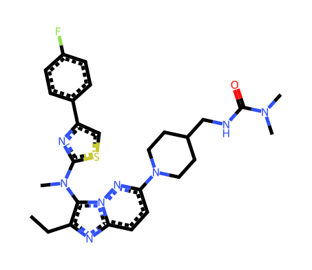 CCc1nc2ccc(N3CCC(CNC(=O)N(C)C)CC3)nn2c1N(C)c1nc(-c2ccc(F)cc2)cs1